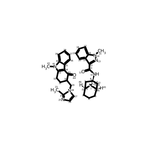 CN1[C@@H]2CCC[C@H]1C[C@@H](NC(=O)c1nn(C)c3ccccc13)C2.Cc1nccn1CC1CCc2c(c3ccccc3n2C)C1=O